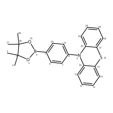 CC1(C)OB(c2ccc(N3c4ccccc4Sc4ccccc43)cc2)OC1(C)C